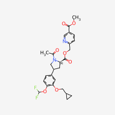 COC(=O)c1ccc(COC(=O)[C@H]2CC(c3ccc(OC(F)F)c(OCC4CC4)c3)CN2C(C)=O)nc1